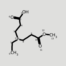 CCP(CCC(=O)O)CCC(=O)OC